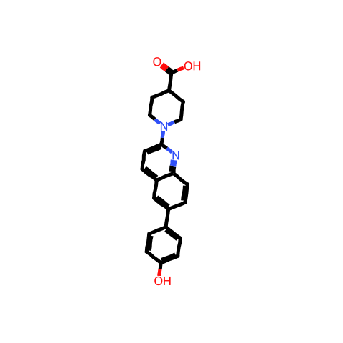 O=C(O)C1CCN(c2ccc3cc(-c4ccc(O)cc4)ccc3n2)CC1